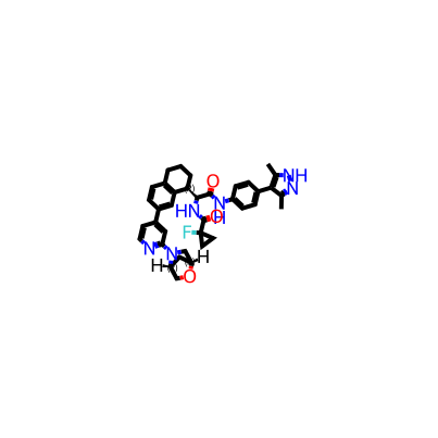 Cc1n[nH]c(C)c1-c1ccc(NC(=O)C(NC(=O)C2(F)CC2)[C@@H]2CCCc3ccc(-c4ccnc(N5C[C@H]6C[C@@H]5CO6)c4)cc32)cc1